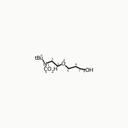 CC(C)(C)N(CCOCCCO)C(=O)O